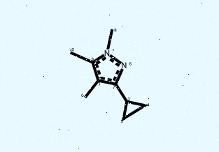 Cc1c(C2CC2)nn(C)c1C